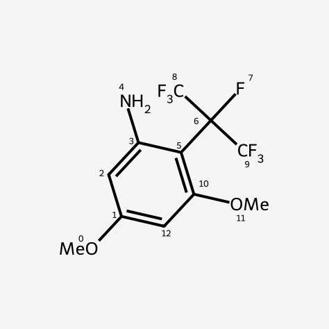 COc1cc(N)c(C(F)(C(F)(F)F)C(F)(F)F)c(OC)c1